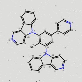 N#Cc1c(-n2c3ccccc3c3cnccc32)cc(-c2ccncc2)cc1-n1c2ccccc2c2cnccc21